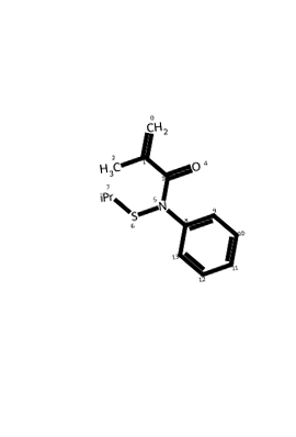 C=C(C)C(=O)N(SC(C)C)c1ccccc1